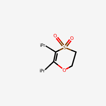 CC(C)C1=C(C(C)C)S(=O)(=O)CCO1